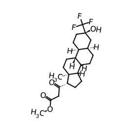 COC(=O)CC(=O)[C@H]1CC[C@H]2[C@@H]3CC[C@@H]4C[C@@](O)(C(F)(F)F)CC[C@@H]4[C@H]3CC[C@]12C